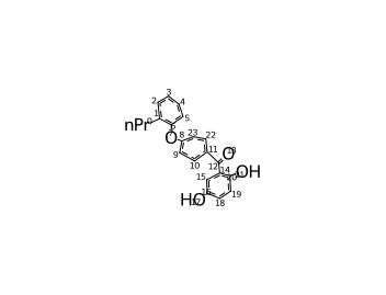 CCCc1ccccc1Oc1ccc(C(=O)c2cc(O)ccc2O)cc1